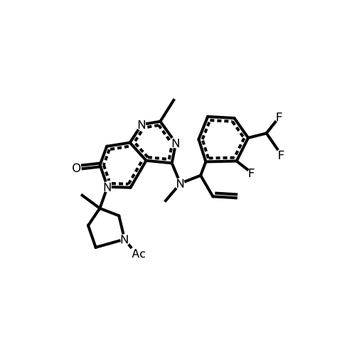 C=CC(c1cccc(C(F)F)c1F)N(C)c1nc(C)nc2cc(=O)n(C3(C)CCN(C(C)=O)C3)cc12